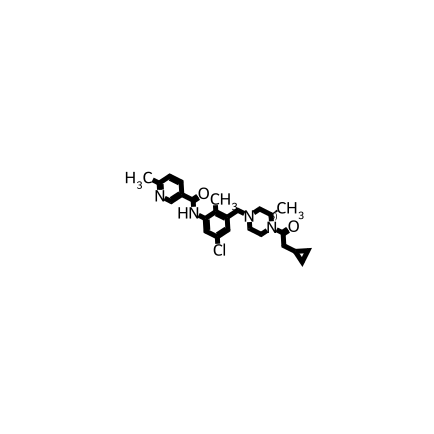 Cc1ccc(C(=O)Nc2cc(Cl)cc(CN3CCN(C(=O)CC4CC4)[C@@H](C)C3)c2C)cn1